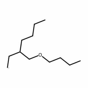 [CH2]CC(CCCC)COCCCC